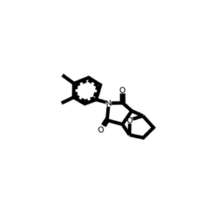 Cc1ccc(N2C(=O)C3C4CCC(O4)C3C2=O)cc1C